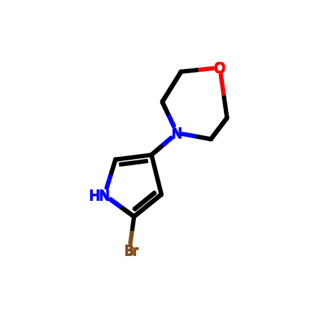 Brc1cc(N2CCOCC2)c[nH]1